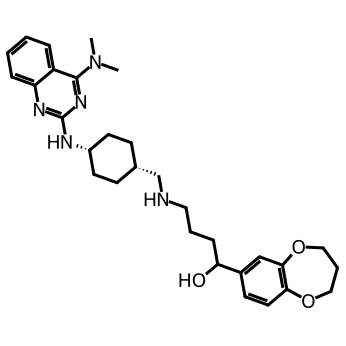 CN(C)c1nc(N[C@H]2CC[C@@H](CNCCCC(O)c3ccc4c(c3)OCCCO4)CC2)nc2ccccc12